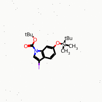 CC(C)(C)OC(=O)n1cc(I)c2ccc(O[Si](C)(C)C(C)(C)C)cc21